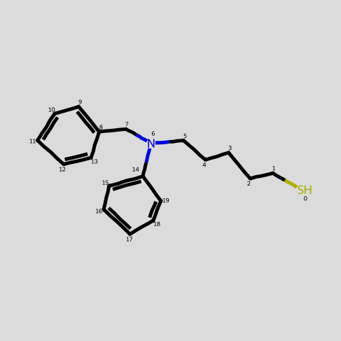 SCCCCCN(Cc1ccccc1)c1ccccc1